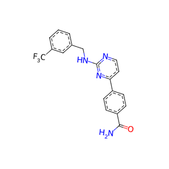 NC(=O)c1ccc(-c2ccnc(NCc3cccc(C(F)(F)F)c3)n2)cc1